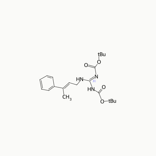 CC(=CCN/C(=N\C(=O)OC(C)(C)C)NC(=O)OC(C)(C)C)c1ccccc1